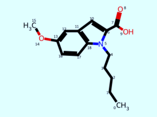 CCCCCn1c(C(=O)O)cc2cc(OC)ccc21